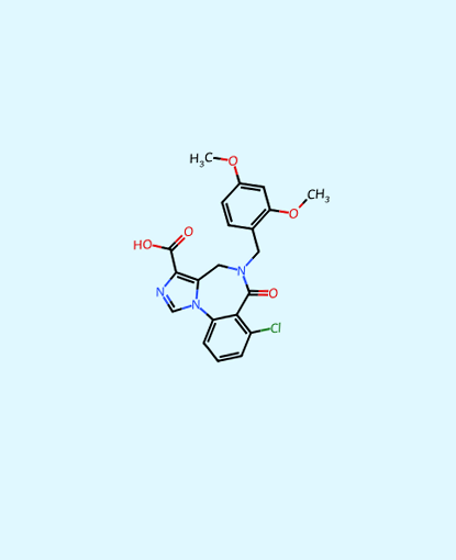 COc1ccc(CN2Cc3c(C(=O)O)ncn3-c3cccc(Cl)c3C2=O)c(OC)c1